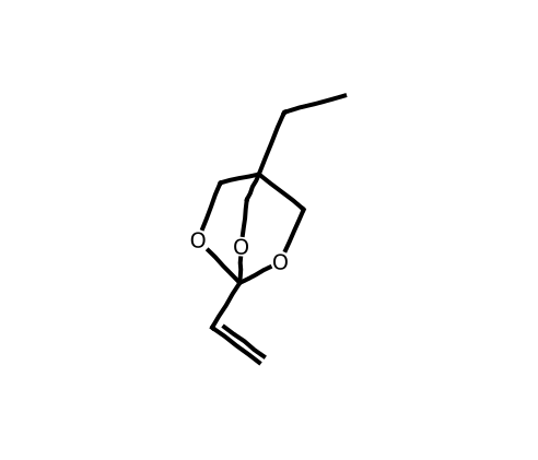 C=CC12OCC(CC)(CO1)CO2